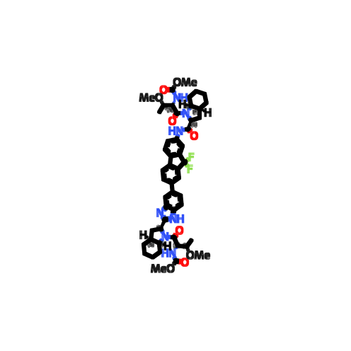 COC(=O)N[C@H](C(=O)N1[C@H](C(=O)Nc2ccc3c(c2)C(F)(F)c2cc(-c4ccc5[nH]c([C@@H]6C[C@@H]7CCCC[C@@H]7N6C(=O)[C@@H](NC(=O)OC)[C@@H](C)OC)nc5c4)ccc2-3)C[C@@H]2CCCC[C@@H]21)[C@@H](C)OC